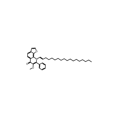 CCCCCCCCCCCCCCCCC=Cn1c(-c2ccccc2)c(OC)c(=O)c2ccc3ccoc3c21